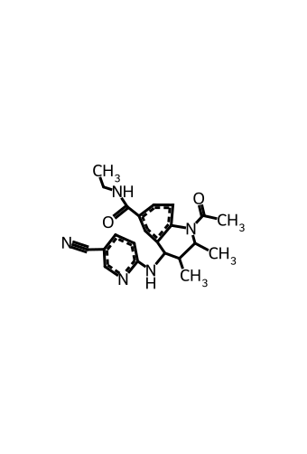 CCNC(=O)c1ccc2c(c1)C(Nc1ccc(C#N)cn1)C(C)C(C)N2C(C)=O